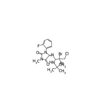 CN1C(=O)C(=NC(NC(C)(C)C)C(Br)(Br)CCl)N(c2ccccc2F)C1=O